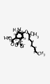 CCCCCC[C@@H](C)Oc1cc([N+](=O)[O-])c(C(=O)O)cc1N